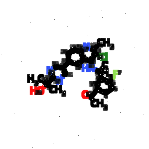 CC(=O)c1ccc(F)c([C@@H](C)Nc2c(Cl)c(C)nc3ccc(-c4cnc(C(C)(C)O)nc4)cc23)c1